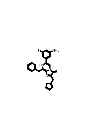 C=c1c(CC2=CC=CC2)nc2n1C=C(c1cc(N)cc(F)c1)NC=2Cc1ccccc1